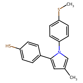 CSc1ccc(-n2cc(C)cc2-c2ccc(S)cc2)cc1